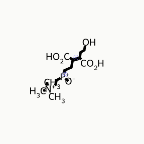 C[N+](C)(C)CC/[P+]([O-])=C/C/C(C(=O)O)=C(/CCO)C(=O)O